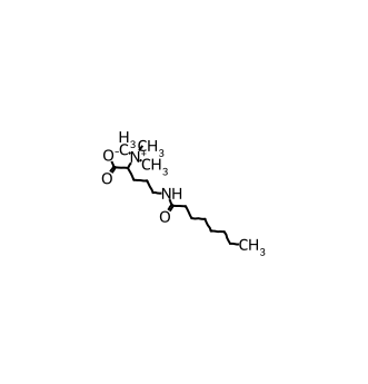 CCCCCCCC(=O)NCCCC(C(=O)[O-])[N+](C)(C)C